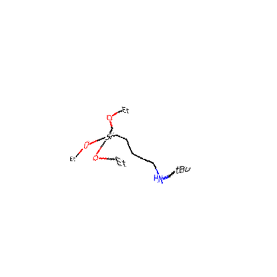 CCO[Si](CCCNC(C)(C)C)(OCC)OCC